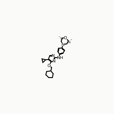 C[C@@H]1CN(c2ccc(Nc3ncc(C4CC4)c(OCC4CCCCC4)n3)cc2)C[C@H](C)O1